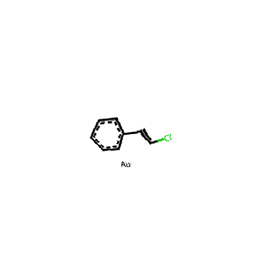 ClC=Cc1ccccc1.[Au]